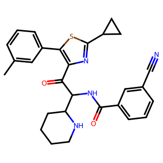 Cc1cccc(-c2sc(C3CC3)nc2C(=O)C(NC(=O)c2cccc(C#N)c2)C2CCCCN2)c1